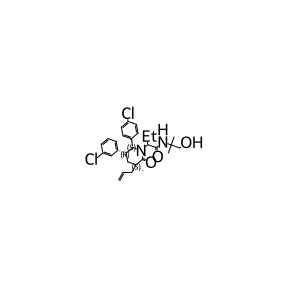 C=CC[C@@]1(C)C[C@H](c2cccc(Cl)c2)[C@@H](c2ccc(Cl)cc2)N(C(CC)C(=O)NC(C)(C)CO)C1=O